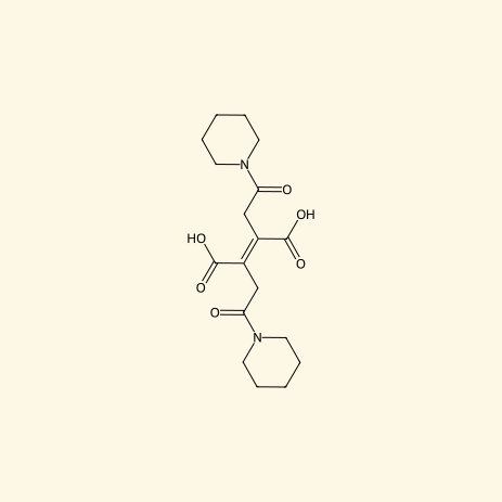 O=C(O)C(CC(=O)N1CCCCC1)=C(CC(=O)N1CCCCC1)C(=O)O